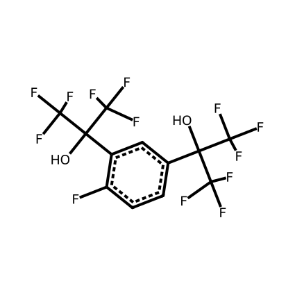 OC(c1ccc(F)c(C(O)(C(F)(F)F)C(F)(F)F)c1)(C(F)(F)F)C(F)(F)F